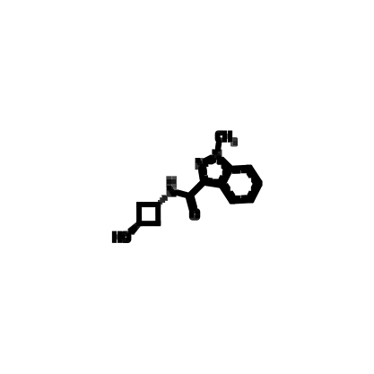 Cn1nc(C(=O)N[C@H]2C[C@H](O)C2)c2ccccc21